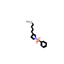 O=C(O)CCCCc1ccn(S(=O)(=O)c2ccccc2)c1